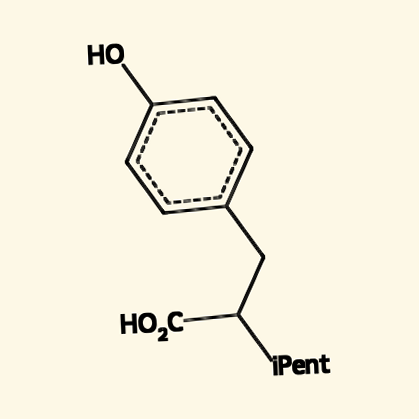 CCCC(C)C(Cc1ccc(O)cc1)C(=O)O